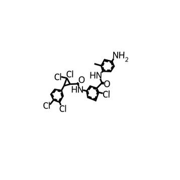 Cc1cc(N)ccc1NC(=O)c1cc(NC(=O)C2C(c3ccc(Cl)c(Cl)c3)C2(Cl)Cl)ccc1Cl